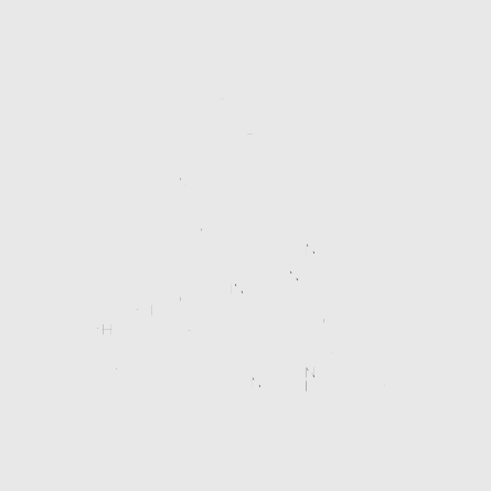 [2H]C([2H])([2H])CC(=O)c1cnc(NC(=O)C2CC2)cc1Nc1nn(C)c2ccc(C(OC)C(F)(F)F)c(OC)c12